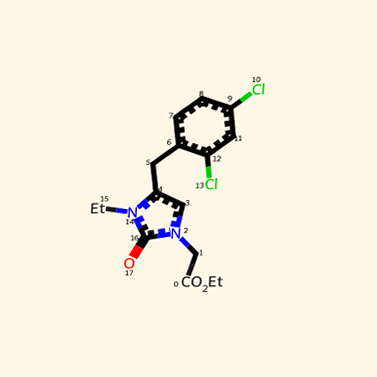 CCOC(=O)Cn1cc(Cc2ccc(Cl)cc2Cl)n(CC)c1=O